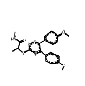 CNC(=O)C(C)Sc1nnc(-c2ccc(OC)cc2)c(-c2ccc(OC)cc2)n1